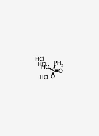 Cl.Cl.Cl.O=S(=O)(O)P